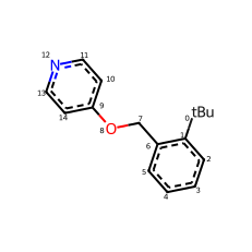 CC(C)(C)c1ccccc1COc1ccncc1